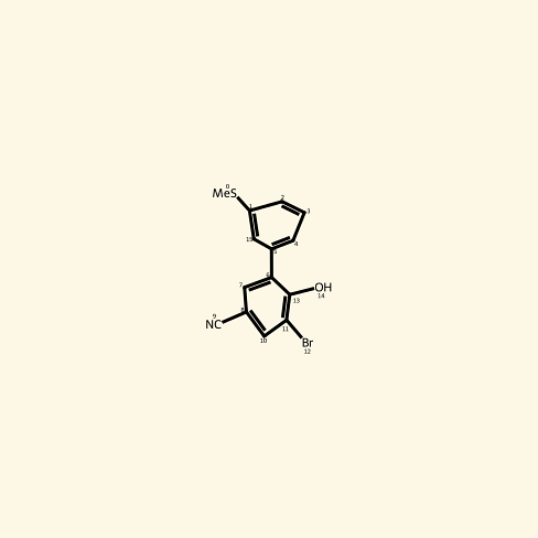 CSc1cccc(-c2cc(C#N)cc(Br)c2O)c1